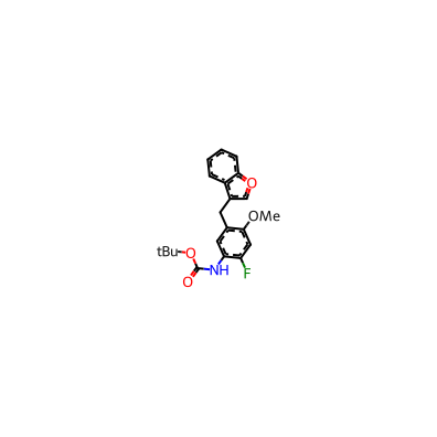 COc1cc(F)c(NC(=O)OC(C)(C)C)cc1Cc1coc2ccccc12